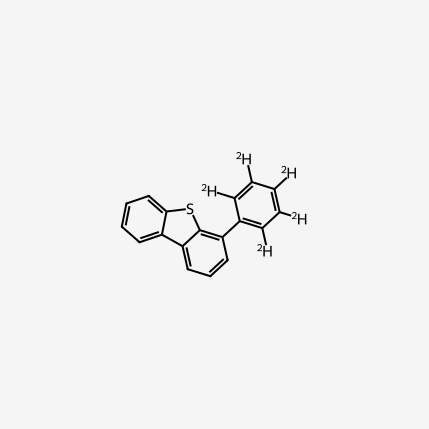 [2H]c1c([2H])c([2H])c(-c2cccc3c2sc2ccccc23)c([2H])c1[2H]